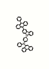 C1=CC(n2c3ccccc3c3cc(-c4c5ccccc5c(-c5ccccc5)c5ccccc45)ccc32)CC=C1N(c1ccccc1)c1cc2ccccc2c2ccccc12